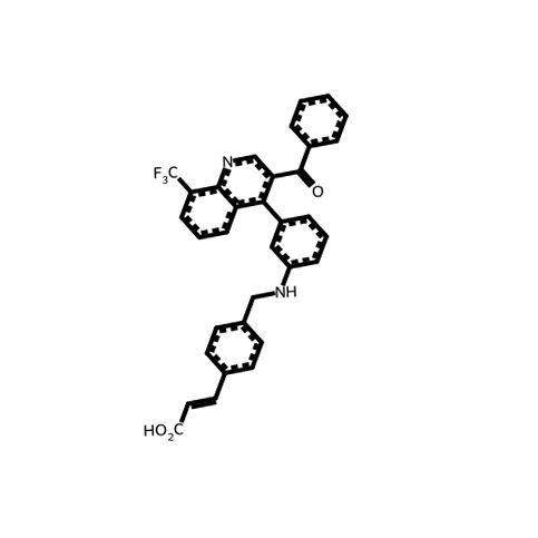 O=C(O)C=Cc1ccc(CNc2cccc(-c3c(C(=O)c4ccccc4)cnc4c(C(F)(F)F)cccc34)c2)cc1